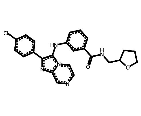 O=C(NCC1CCCO1)c1cccc(Nc2c(-c3ccc(Cl)cc3)nc3cnccn23)c1